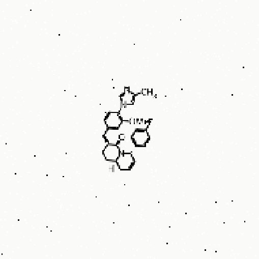 COc1cc(C=C2CC[C@@H]3CC=C[C@@H](c4ccc(F)cc4)N3C2=O)ccc1-n1cnc(C)c1